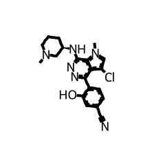 CN1CCC[C@@H](Nc2nnc(-c3ccc(C#N)cc3O)c3c(Cl)cn(C)c23)C1